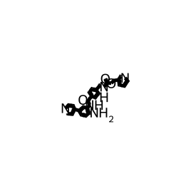 Nc1ccc(-c2ccncc2)cc1NC(=O)c1ccc(CNC(=O)OCc2cccnc2)cc1